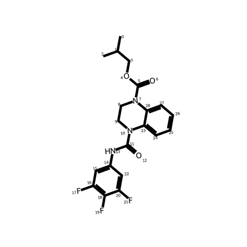 CC(C)COC(=O)N1CCN(C(=O)Nc2cc(F)c(F)c(F)c2)c2ccccc21